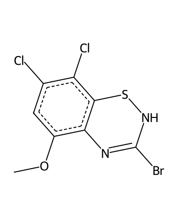 COc1cc(Cl)c(Cl)c2c1N=C(Br)NS2